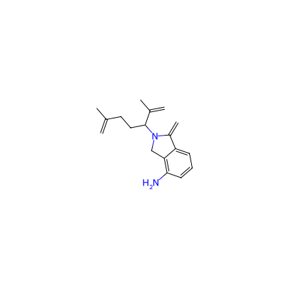 C=C(C)CCC(C(=C)C)N1Cc2c(N)cccc2C1=C